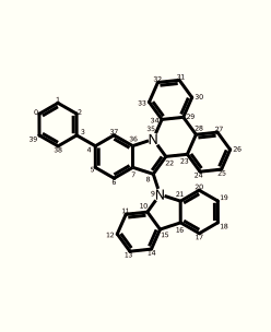 c1ccc(-c2ccc3c(-n4c5ccccc5c5ccccc54)c4c5ccccc5c5ccccc5n4c3c2)cc1